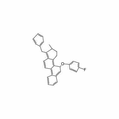 CC1CCc2c3c(ccc2=C1Cc1ccccc1)=c1ccccc1=CC3Oc1ccc(F)cc1